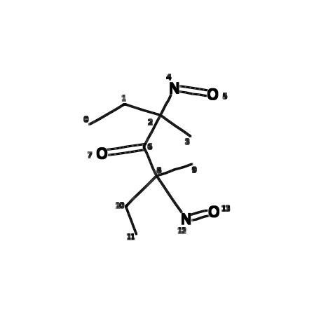 CCC(C)(N=O)C(=O)C(C)(CC)N=O